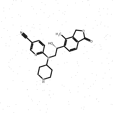 Cc1c([C@@H](O)CN(c2ccc(C#N)cn2)C2CCNCC2)ccc2c1COC2=O